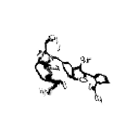 CCc1nc2ccc(C(N)=O)nc2n1Cc1ccc2oc(-c3ccccc3C(=O)O)c(Br)c2c1